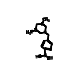 CN1CN(C)CN(Cc2ccc(N(O)O)cc2)C1